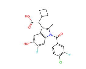 Cc1c(C(C(=O)O)C2CCC2)c2cc(O)c(F)cc2n1C(=O)c1ccc(Cl)c(F)c1